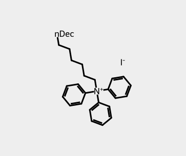 CCCCCCCCCCCCCCCC[N+](c1ccccc1)(c1ccccc1)c1ccccc1.[I-]